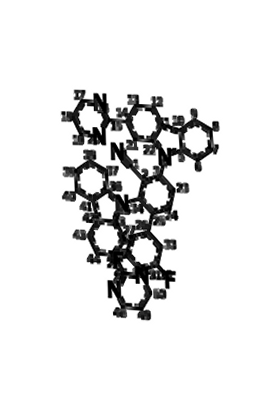 N#Cc1c(-n2c3ccccc3c3ccc(-c4ncccn4)cc32)ccc(-c2cc(F)cc(F)c2)c1-n1c2ccccc2c2ccc(-c3ncccn3)cc21